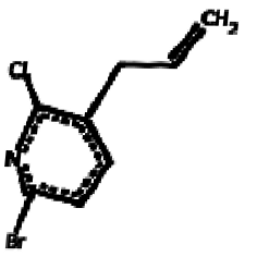 C=CCc1ccc(Br)nc1Cl